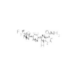 NC(=O)c1cccc2[nH]c(-c3ccc(-c4nnc(C(F)(F)F)o4)cn3)nc12